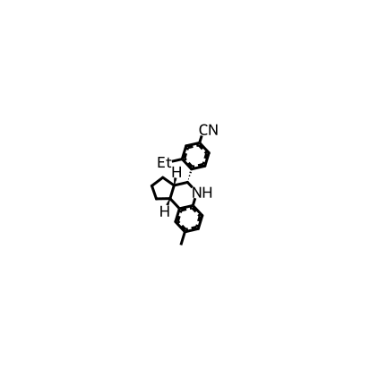 CCc1cc(C#N)ccc1[C@@H]1Nc2ccc(C)cc2[C@@H]2CCC[C@@H]21